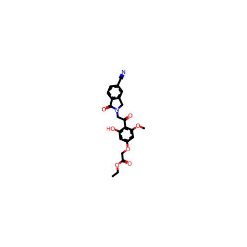 CCOC(=O)COc1cc(O)c(C(=O)CN2Cc3cc(C#N)ccc3C2=O)c(OC)c1